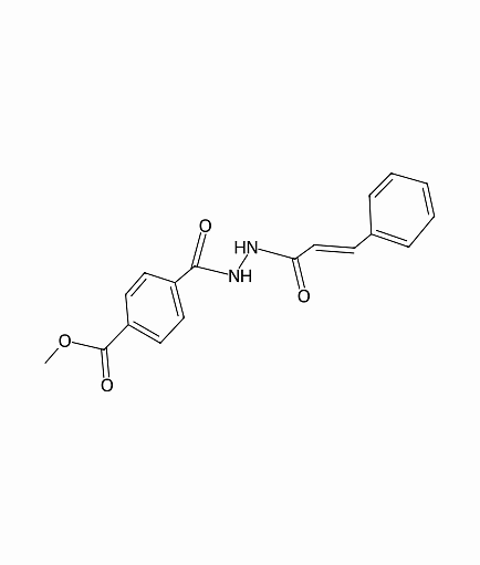 COC(=O)c1ccc(C(=O)NNC(=O)C=Cc2ccccc2)cc1